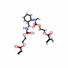 C=CC(=O)OCCOC(=O)NCC1CCCCC1N(C)C(=O)OCCOC(=O)C(=C)C